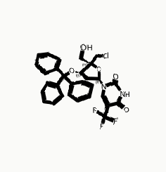 O=c1[nH]c(=O)n([C@H]2C[C@H](OC(c3ccccc3)(c3ccccc3)c3ccccc3)[C@](CO)(CCl)O2)cc1C(F)(F)F